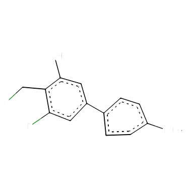 CCCCCCc1ccc(-c2cc(C)c(CF)c(F)c2)cc1